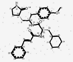 COc1ccc(C[C@H](C[C@@H]2CCNC2=O)NC(=O)[C@H](CC2CCCCC2)NC(=O)C=Cc2ccccc2)cc1